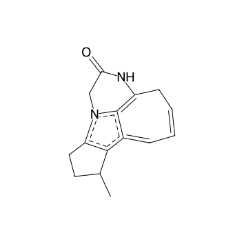 CC1CCc2c1c1c3n2CC(=O)NC=3CC=CC=1